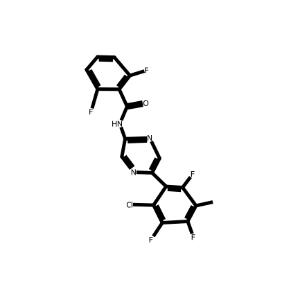 Cc1c(F)c(F)c(Cl)c(-c2cnc(NC(=O)c3c(F)cccc3F)cn2)c1F